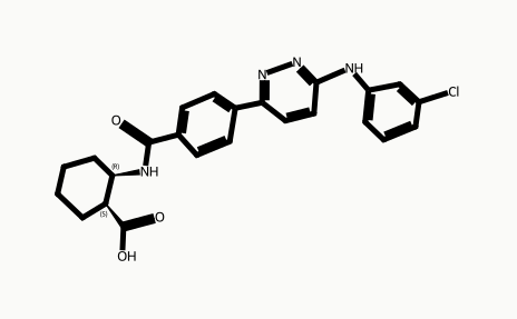 O=C(N[C@@H]1CCCC[C@@H]1C(=O)O)c1ccc(-c2ccc(Nc3cccc(Cl)c3)nn2)cc1